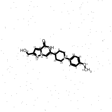 COc1ccc(N2CCC(c3cn4nc(CO)cc4c(=O)[nH]3)CC2)cc1